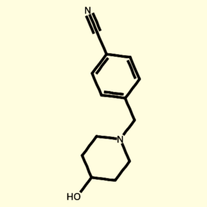 N#Cc1ccc(CN2CCC(O)CC2)cc1